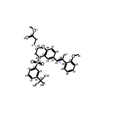 COC(=O)CC[C@H]1CN(S(=O)(=O)c2cccc(C(F)(F)F)c2)c2cc(/C=C(\C)c3ccccc3OC)ccc2O1